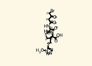 Cn1nnnc1SCC1=C(C(=O)O)N2C(=O)C(NC(=O)CC(=O)CBr)[C@H]2SC1